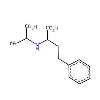 CCCC(NC(CCc1ccccc1)C(=O)O)C(=O)O